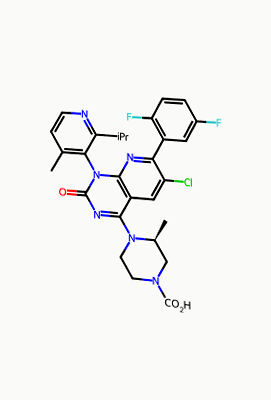 Cc1ccnc(C(C)C)c1-n1c(=O)nc(N2CCN(C(=O)O)C[C@@H]2C)c2cc(Cl)c(-c3cc(F)ccc3F)nc21